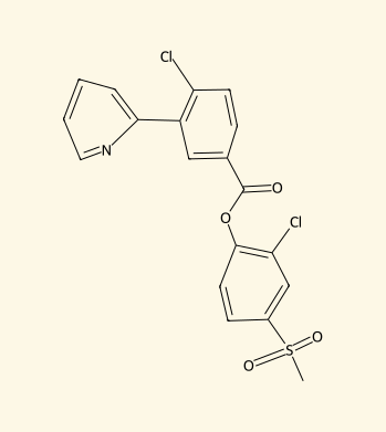 CS(=O)(=O)c1ccc(OC(=O)c2ccc(Cl)c(-c3ccccn3)c2)c(Cl)c1